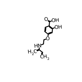 C=CC(=C)NCCOc1ccc(C(=O)O)c(O)c1